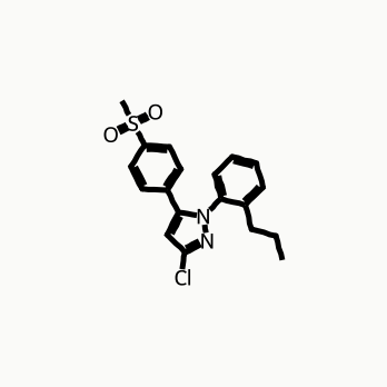 CCCc1ccccc1-n1nc(Cl)cc1-c1ccc(S(C)(=O)=O)cc1